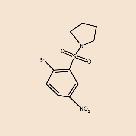 O=[N+]([O-])c1ccc(Br)c(S(=O)(=O)N2CCCC2)c1